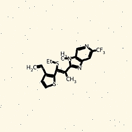 C=Cc1ccsc1/C(SCC)=C(\C)c1nc2cc(C(F)(F)F)ncc2n1C